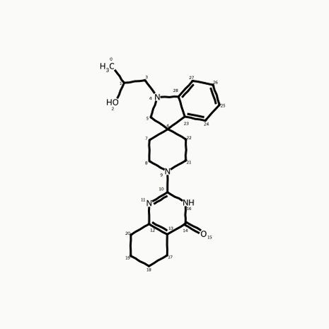 CC(O)CN1CC2(CCN(c3nc4c(c(=O)[nH]3)CCCC4)CC2)c2ccccc21